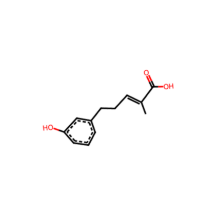 C/C(=C\CCc1cccc(O)c1)C(=O)O